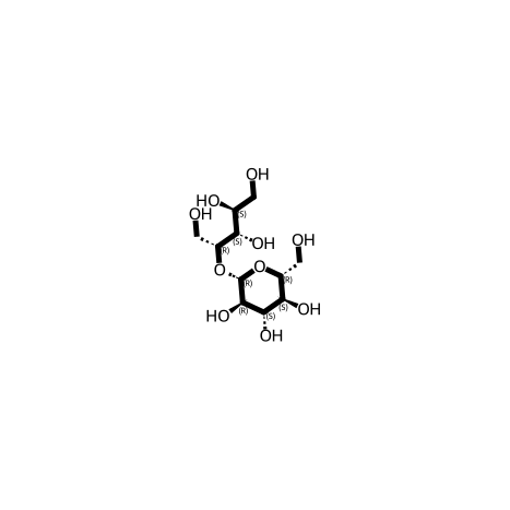 OC[C@H](O)[C@H](O)[C@@H](CO)O[C@@H]1O[C@H](CO)[C@@H](O)[C@H](O)[C@H]1O